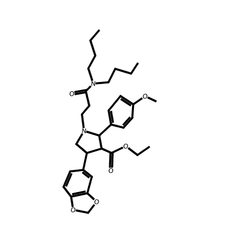 CCCCN(CCCC)C(=O)CCN1CC(c2ccc3c(c2)OCO3)C(C(=O)OCC)C1c1ccc(OC)cc1